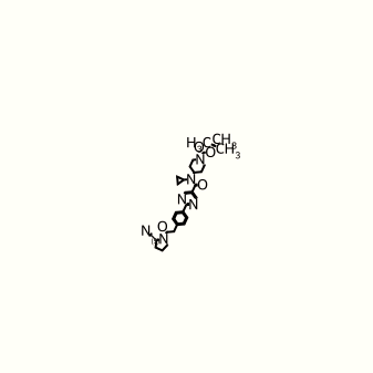 CC(C)(C)OC(=O)N1CCC(N(C(=O)c2cnc(-c3ccc(CC(=O)N4CCC[C@H]4C#N)cc3)nc2)C2CC2)CC1